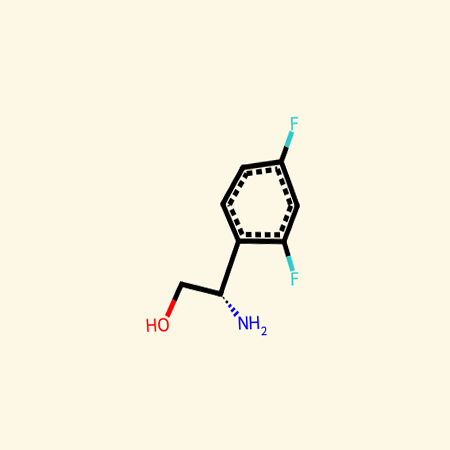 N[C@H](CO)c1ccc(F)cc1F